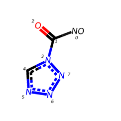 O=NC(=O)n1cnnn1